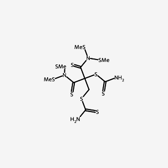 CSN(SC)C(=S)C(CSC(N)=S)(SC(N)=S)C(=S)N(SC)SC